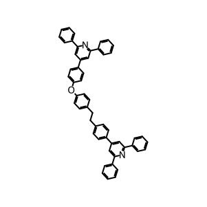 c1ccc(-c2cc(-c3ccc(CCc4ccc(Oc5ccc(-c6cc(-c7ccccc7)nc(-c7ccccc7)c6)cc5)cc4)cc3)cc(-c3ccccc3)n2)cc1